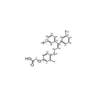 Cc1cc(OCC(=O)O)ccc1SCC=C(c1cccc(F)c1)c1cccc(F)c1